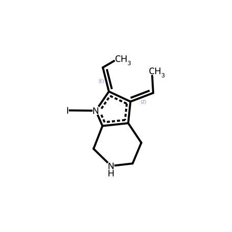 C/C=c1/c2c(n(I)/c1=C/C)CNCC2